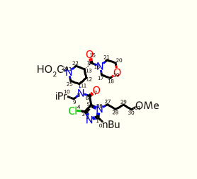 CCCCc1nc(Cl)c(C(=O)N(CC(C)C)[C@H]2C[C@@H](C(=O)N3CCOCC3)CN(C(=O)O)C2)n1CCCCOC